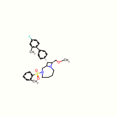 COC[C@@H]1[C@@H](c2ccc(-c3ccc(F)cc3C)cc2)C2CN(S(=O)(=O)c3ccccc3C)CCCCN21